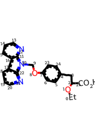 CCOC(Cc1ccc(OCn2c3ncccc3c3cccnc32)cc1)C(=O)O